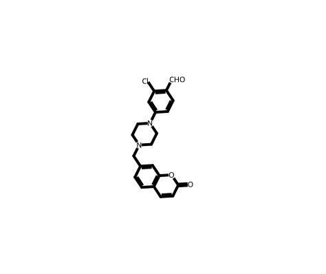 O=Cc1ccc(N2CCN(Cc3ccc4ccc(=O)oc4c3)CC2)cc1Cl